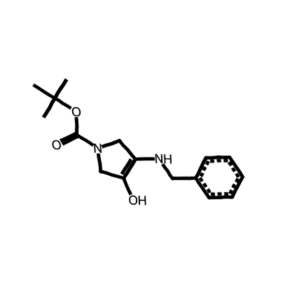 CC(C)(C)OC(=O)N1CC(O)=C(NCc2ccccc2)C1